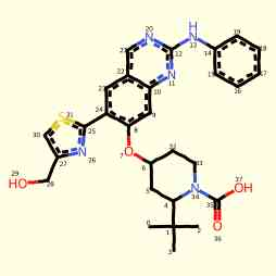 CC(C)(C)C1CC(Oc2cc3nc(Nc4ccccc4)ncc3cc2-c2nc(CO)cs2)CCN1C(=O)O